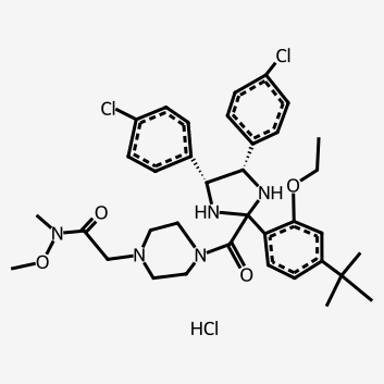 CCOc1cc(C(C)(C)C)ccc1C1(C(=O)N2CCN(CC(=O)N(C)OC)CC2)N[C@H](c2ccc(Cl)cc2)[C@H](c2ccc(Cl)cc2)N1.Cl